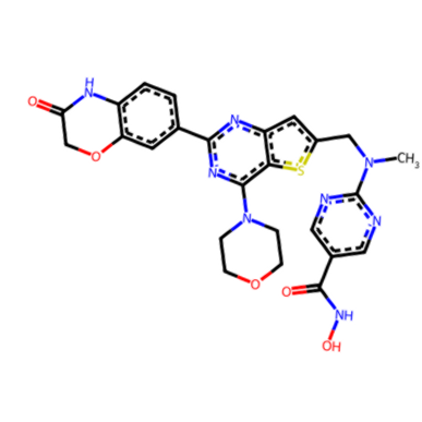 CN(Cc1cc2nc(-c3ccc4c(c3)OCC(=O)N4)nc(N3CCOCC3)c2s1)c1ncc(C(=O)NO)cn1